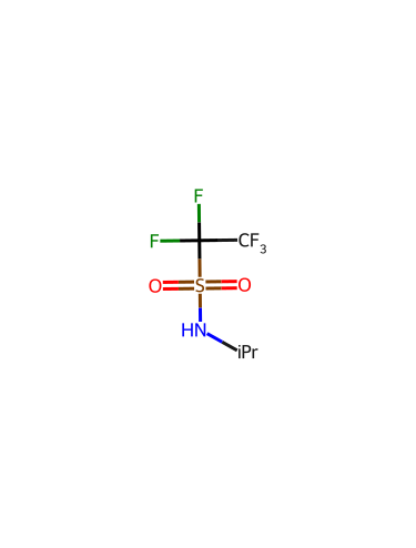 CC(C)NS(=O)(=O)C(F)(F)C(F)(F)F